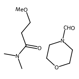 COCCC(=O)N(C)C.O=CN1CCOCC1